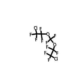 FC(F)(OC(F)(F)C(F)(F)Cl)OC(F)(F)C(F)(F)Cl